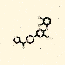 Nc1nc(N2CCN(C(=O)C3CCOC3)CC2)cnc1Sc1cccc(Cl)c1Cl